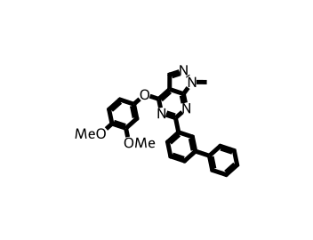 COc1ccc(Oc2nc(-c3cccc(-c4ccccc4)c3)nc3c2cnn3C)cc1OC